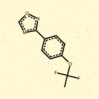 CC(F)(F)Oc1ccc(-c2ncon2)cc1